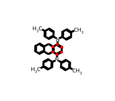 Cc1ccc(N(c2ccc(C)cc2)c2cccc3c2C2c4ccccc4C3c3c2cccc3N(c2ccc(C)cc2)c2ccc(C)cc2)cc1